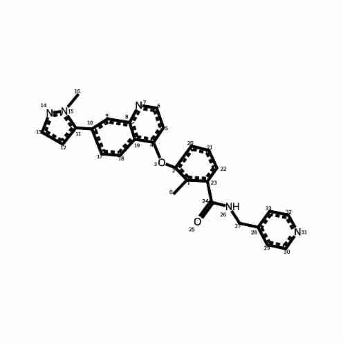 Cc1c(Oc2ccnc3cc(-c4ccnn4C)ccc23)cccc1C(=O)NCc1ccncc1